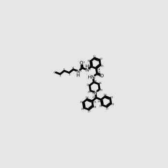 CCCCCNC(=O)Nc1ccccc1C(=O)NC1CCN(C(c2ccccc2)c2ccccc2)CC1